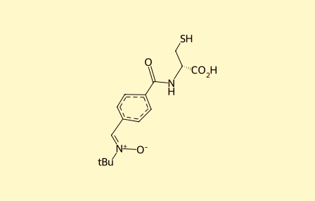 CC(C)(C)/[N+]([O-])=C/c1ccc(C(=O)N[C@H](CS)C(=O)O)cc1